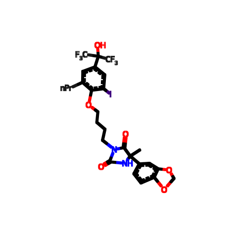 CCCc1cc(C(O)(C(F)(F)F)C(F)(F)F)cc(I)c1OCCCCN1C(=O)NC(C)(c2ccc3c(c2)OCO3)C1=O